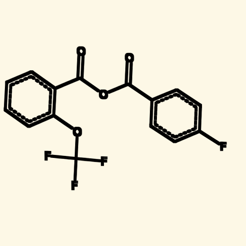 O=C(OC(=O)c1ccccc1OC(F)(F)F)c1ccc(F)cc1